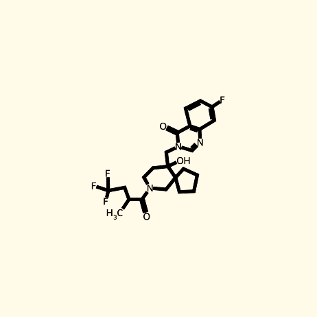 CC(CC(F)(F)F)C(=O)N1CCC(O)(Cn2cnc3cc(F)ccc3c2=O)C2(CCCC2)C1